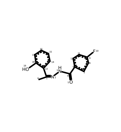 CC(=NNC(=O)c1ccc(F)cc1)c1ccccc1O